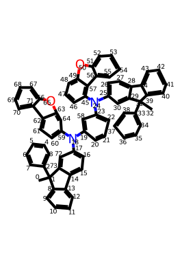 CC1(c2ccccc2)c2ccccc2-c2ccc(N(c3cccc(N(c4ccc5c(c4)C(C)(c4ccccc4)c4ccccc4-5)c4cccc5oc6ccccc6c45)c3)c3ccc4c(c3)oc3ccccc34)cc21